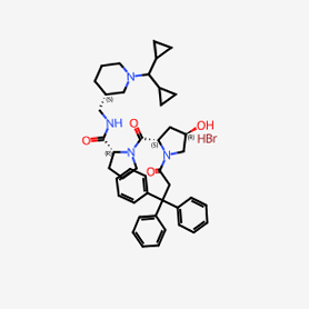 Br.O=C(NC[C@@H]1CCCN(C(C2CC2)C2CC2)C1)[C@H]1CCCN1C(=O)[C@@H]1C[C@@H](O)CN1C(=O)CC(c1ccccc1)(c1ccccc1)c1ccccc1